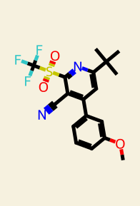 COc1cccc(-c2cc(C(C)(C)C)nc(S(=O)(=O)C(F)(F)F)c2C#N)c1